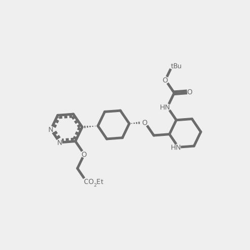 CCOC(=O)COc1nnccc1[C@H]1CC[C@@H](OCC2NCCCC2NC(=O)OC(C)(C)C)CC1